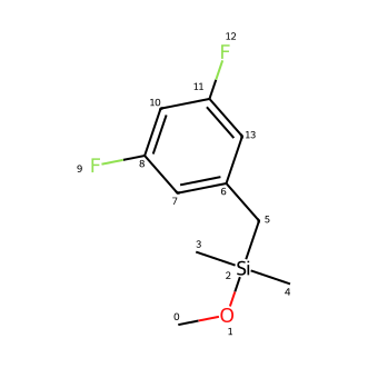 CO[Si](C)(C)Cc1cc(F)cc(F)c1